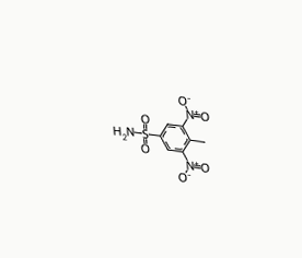 Cc1c([N+](=O)[O-])cc(S(N)(=O)=O)cc1[N+](=O)[O-]